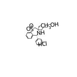 CC[C@]1(CCCCO)CS(=O)(=O)c2ccccc2[C@@H](c2ccccc2)N1.Cl